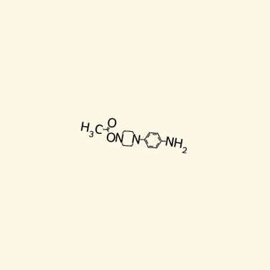 CC(=O)ON1CCN(c2ccc(N)cc2)CC1